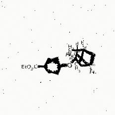 CCOC(=O)c1ccc(O[C@@H]2C[C@@H]3C[C@H]([C@H]2C)C3(C)C)cc1